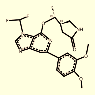 COc1ccc(-c2cc3ncn(C(F)F)c3c(O[C@H](C)[C@H]3CNC(=O)C3)n2)cc1OC